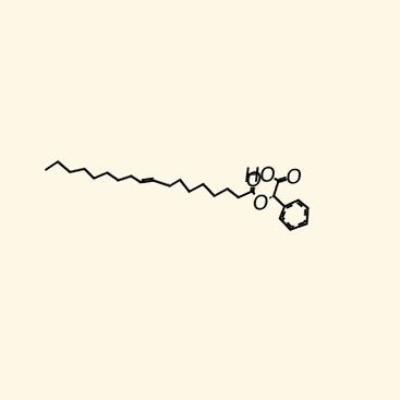 CCCCCCCCC=CCCCCCCCC(=O)O[C@H](C(=O)O)c1ccccc1